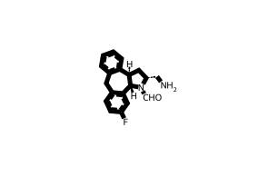 NC[C@H]1C[C@@H]2c3ccccc3Cc3ccc(F)cc3[C@H]2N1C=O